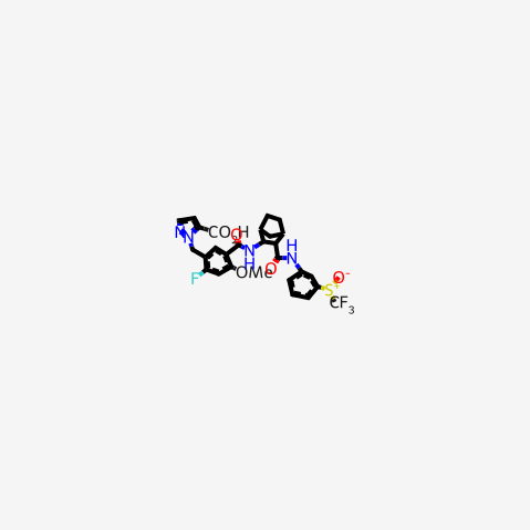 COc1cc(F)c(Cn2nccc2C(=O)O)cc1C(=O)NC1C2CCC(C2)C1C(=O)Nc1cccc([S+]([O-])C(F)(F)F)c1